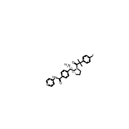 CC(C)(C(=O)N1CCC[C@@H]1[C@@H](N)c1ccc(C(=O)Nc2ccncc2)cc1)c1ccc(F)cc1